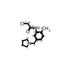 Cc1ccc(CN2CCCC2)cc1NC(=O)CCl